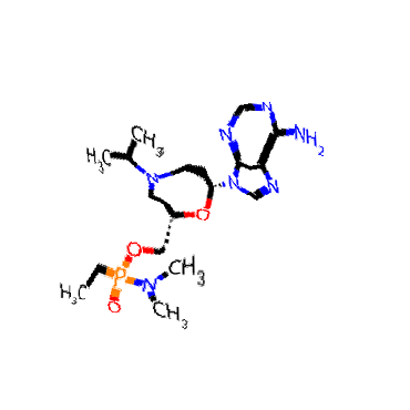 CCP(=O)(OC[C@@H]1CN(C(C)C)C[C@H](n2cnc3c(N)ncnc32)O1)N(C)C